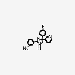 N#Cc1cccc(C2=NC(c3ccc(F)cc3)(c3cccnc3)CN2)c1